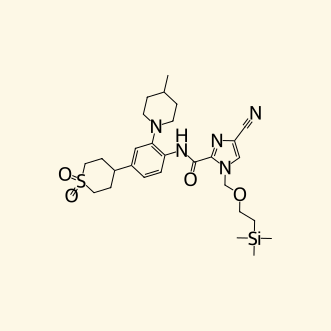 CC1CCN(c2cc(C3CCS(=O)(=O)CC3)ccc2NC(=O)c2nc(C#N)cn2COCC[Si](C)(C)C)CC1